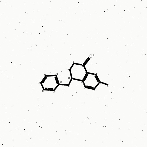 Cc1ccc2c(c1)C(=O)CCC2Cc1ccccc1